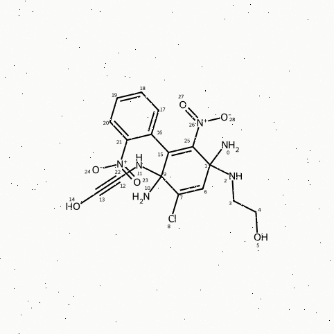 NC1(NCCO)C=C(Cl)C(N)(NC#CO)C(c2ccccc2[N+](=O)[O-])=C1[N+](=O)[O-]